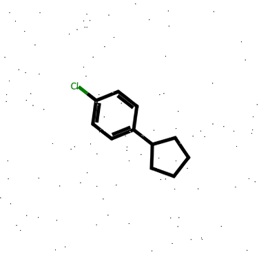 Clc1ccc(C2CCCC2)cc1